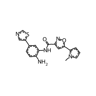 Cn1cccc1-c1cc(C(=O)Nc2cc(-c3cncs3)ccc2N)no1